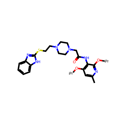 Cc1cc(OC(C)C)c(NC(=O)CN2CCN(CCSc3nc4ccccc4[nH]3)CC2)c(OC(C)C)n1